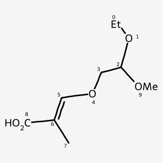 CCOC(COC=C(C)C(=O)O)OC